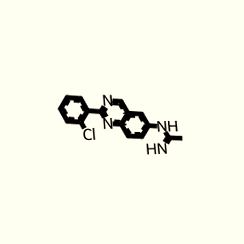 CC(=N)Nc1ccc2nc(-c3ccccc3Cl)ncc2c1